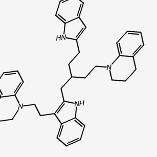 c1ccc2c(c1)CCCN2CCc1c(CC(CCc2cc3ccccc3[nH]2)CCN2CCCc3ccccc32)[nH]c2ccccc12